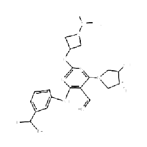 C[S+]([O-])N1CC(Nc2nc(Nc3cccc(C(F)P)c3)c(C=N)c(N3CC(O)[C@H](F)C3)n2)C1